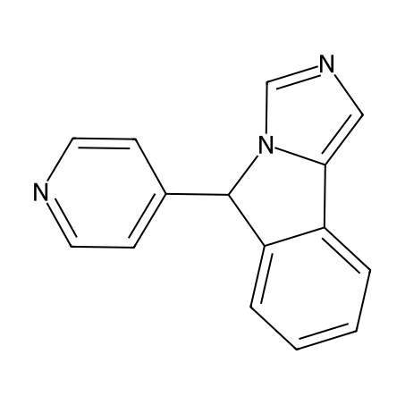 c1ccc2c(c1)-c1cncn1C2c1ccncc1